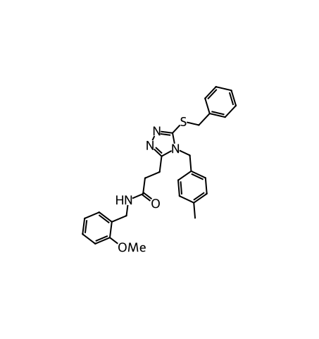 COc1ccccc1CNC(=O)CCc1nnc(SCc2ccccc2)n1Cc1ccc(C)cc1